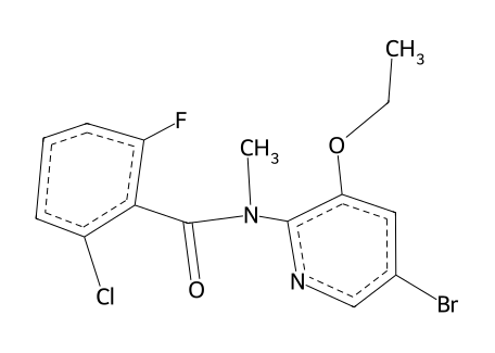 CCOc1cc(Br)cnc1N(C)C(=O)c1c(F)cccc1Cl